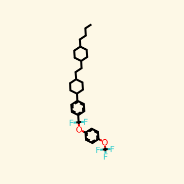 CCCCC1CCC(CCC2CCC(c3ccc(C(F)(F)Oc4ccc(OC(F)(F)F)cc4)cc3)CC2)CC1